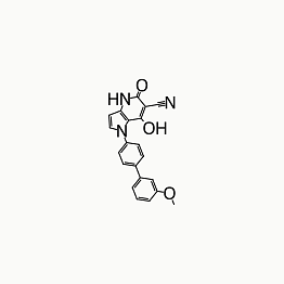 COc1cccc(-c2ccc(-n3ccc4[nH]c(=O)c(C#N)c(O)c43)cc2)c1